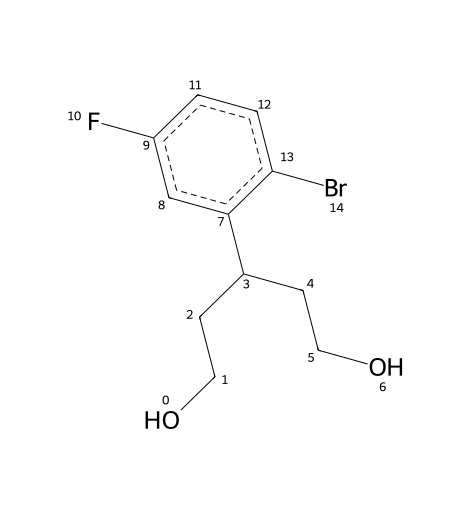 OCCC(CCO)c1cc(F)ccc1Br